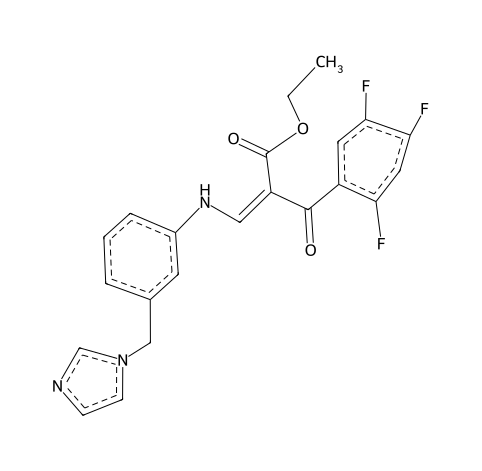 CCOC(=O)C(=CNc1cccc(Cn2ccnc2)c1)C(=O)c1cc(F)c(F)cc1F